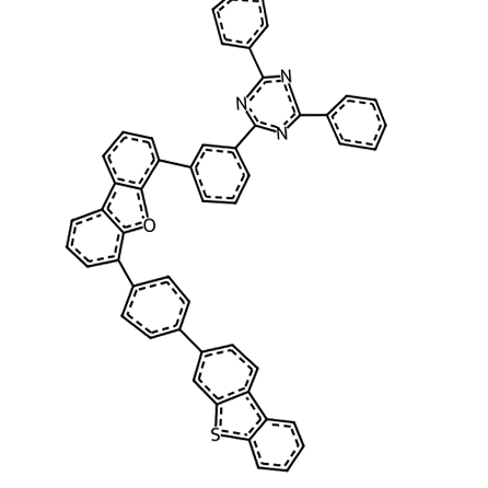 c1ccc(-c2nc(-c3ccccc3)nc(-c3cccc(-c4cccc5c4oc4c(-c6ccc(-c7ccc8c(c7)sc7ccccc78)cc6)cccc45)c3)n2)cc1